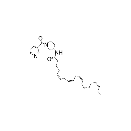 CC/C=C\C/C=C\C/C=C\C/C=C\C/C=C\CCCC(=O)N[C@H]1CCN(C(=O)c2cccnc2)C1